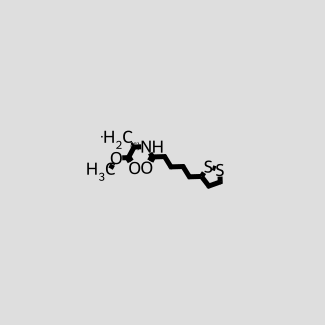 [CH2][C@H](NC(=O)CCCCC1CCSS1)C(=O)OC